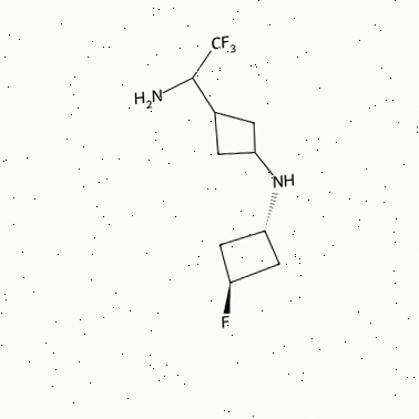 NC(C1CC(N[C@H]2C[C@H](F)C2)C1)C(F)(F)F